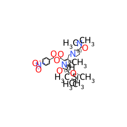 CC[Si](CC)(CC)OC(C)[C@H]1C(=O)N2C(C(=O)OC(=O)c3ccc([N+](=O)[O-])cc3)=C(CN3CC[C@H](C(=O)N(C)C)C3)[C@H](C)[C@H]12